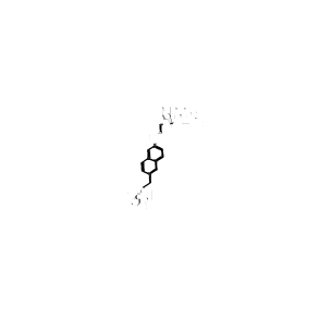 CNN(C=O)CCOc1ccc2cc(CCNS(C)(=O)=O)ccc2c1